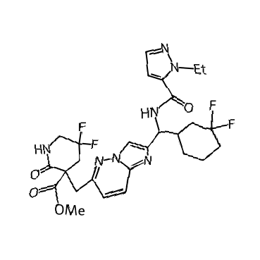 CCn1nccc1C(=O)NC(c1cn2nc(CC3(C(=O)OC)CC(F)(F)CNC3=O)ccc2n1)C1CCCC(F)(F)C1